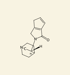 O=C1C2=C(CC=C2)CN1[C@H]1CN2CCC1CC2